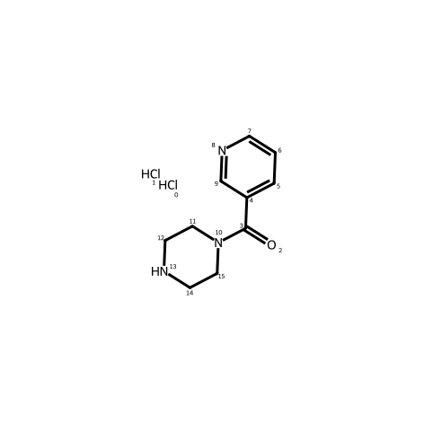 Cl.Cl.O=C(c1cccnc1)N1CCNCC1